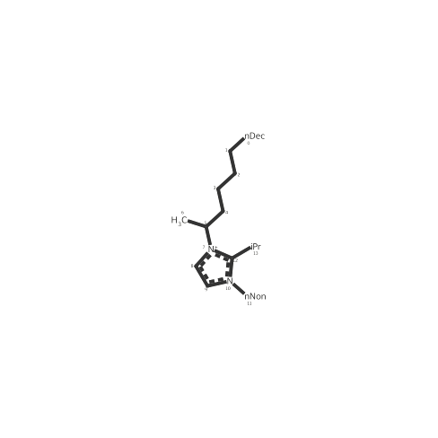 CCCCCCCCCCCCCCC(C)[n+]1ccn(CCCCCCCCC)c1C(C)C